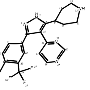 Fc1ccc(-c2n[nH]c(C3CCNCC3)c2-c2ccncn2)cc1C(F)(F)F